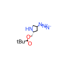 CC(C)(C)C(=O)OC[C@H]1CC(N=[N+]=[N-])CN1